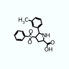 Cc1cccc(C2NC(C(=O)O)CC2S(=O)(=O)c2ccccc2)c1